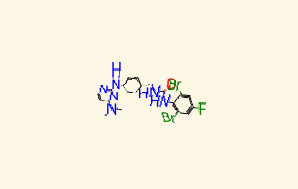 CN(C)c1ccnc(N[C@H]2CC[C@@H](CNC(=O)Nc3c(Br)cc(F)cc3Br)CC2)n1